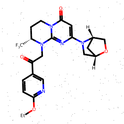 CCOc1ccc(C(=O)CN2c3nc(N4C[C@@H]5C[C@H]4CO5)cc(=O)n3CC[C@H]2C(F)(F)F)cn1